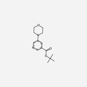 CC(C)(C)OC(=O)c1cncc(N2CCOCC2)c1